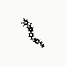 CC(C)(C)OC(=O)N1CCC2(CC1)CN(CC1CCN(c3ccc4c(c3)CN([C@H]3CCC(=O)NC3=O)C4=O)CC1)C2